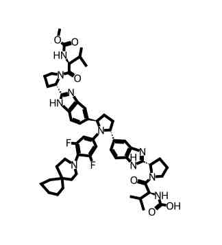 COC(=O)N[C@H](C(=O)N1CCC[C@H]1c1nc2cc([C@H]3CC[C@H](c4ccc5[nH]c([C@@H]6CCCN6C(=O)[C@@H](NC(=O)O)C(C)C)nc5c4)N3c3cc(F)c(N4CCC5(CCCCC5)CC4)c(F)c3)ccc2[nH]1)C(C)C